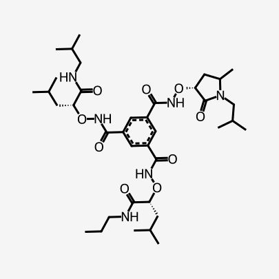 CCCNC(=O)[C@@H](CC(C)C)ONC(=O)c1cc(C(=O)NO[C@H](CC(C)C)C(=O)NCC(C)C)cc(C(=O)NO[C@@H]2CC(C)N(CC(C)C)C2=O)c1